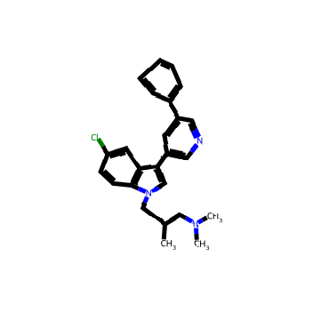 CC(CN(C)C)Cn1cc(-c2cncc(-c3ccccc3)c2)c2cc(Cl)ccc21